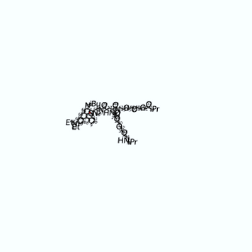 CCC(C)/N=C1\C=CC2=C(c3ccccc3C(=O)N3CCN(C(=O)CC[C@H](NC(=O)COCCOCCOCCNC(C)C)C(=O)NCCOCCOCCOCC(=O)C(C)C)CC3)c3ccc(N(CC)CC)cc3CC2=C1